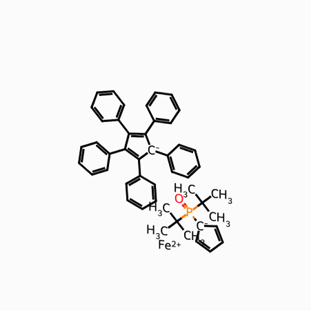 CC(C)(C)P(=O)([c-]1cccc1)C(C)(C)C.[Fe+2].c1ccc(-c2c(-c3ccccc3)c(-c3ccccc3)[c-](-c3ccccc3)c2-c2ccccc2)cc1